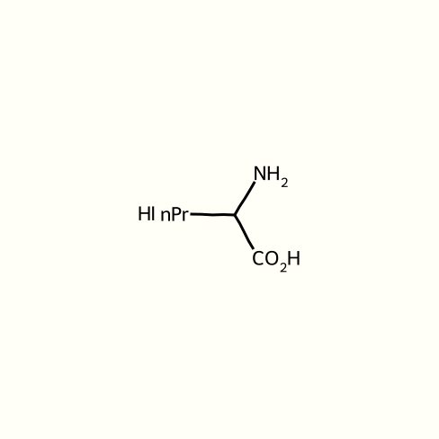 CCCC(N)C(=O)O.I